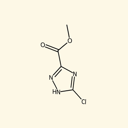 COC(=O)c1n[nH]c(Cl)n1